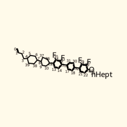 C=CCCC1CCC(C2CCC(c3ccc(-c4ccc(-c5ccc(OCCCCCCC)c(F)c5F)cc4)c(F)c3F)CC2)CC1